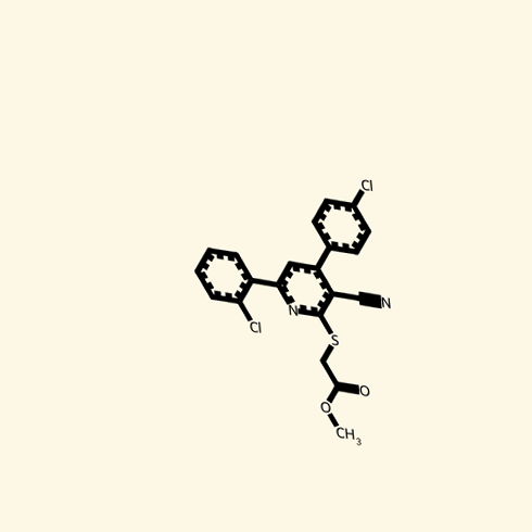 COC(=O)CSc1nc(-c2ccccc2Cl)cc(-c2ccc(Cl)cc2)c1C#N